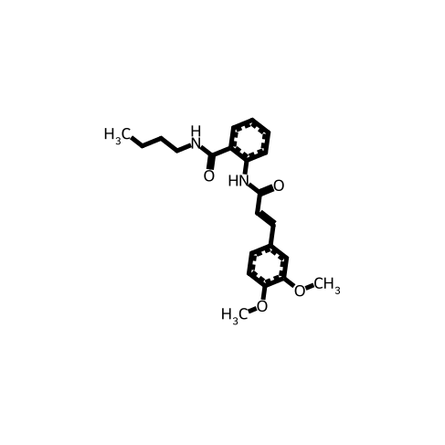 CCCCNC(=O)c1ccccc1NC(=O)/C=C/c1ccc(OC)c(OC)c1